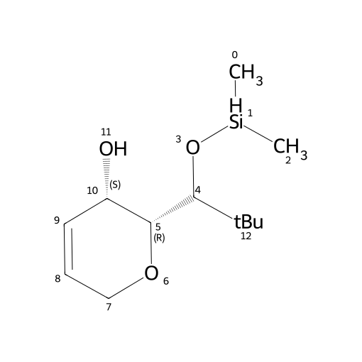 C[SiH](C)OC([C@@H]1OCC=C[C@@H]1O)C(C)(C)C